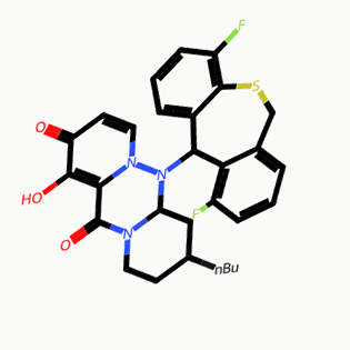 CCCCC1CCN2C(=O)c3c(O)c(=O)ccn3N(C3c4cccc(F)c4SCc4cccc(F)c43)C2C1